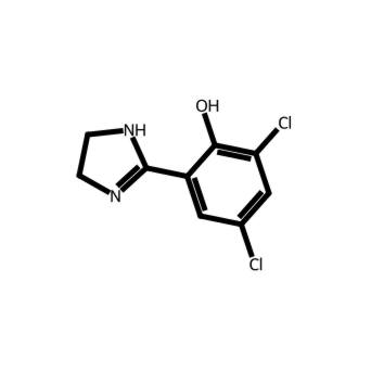 Oc1c(Cl)cc(Cl)cc1C1=NCCN1